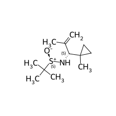 C=C(C)[C@@H](N[S@+]([O-])C(C)(C)C)C1(C)CC1